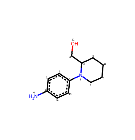 Nc1ccc(N2CCCCC2CO)cc1